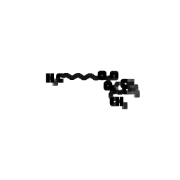 CCCCCCCOC(=O)O[Si](CC)(CC)CC